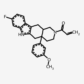 C=CC(=O)N1CCC2(c3cccc(OC)c3)Cc3[nH]c4cc(F)ccc4c3CC2C1